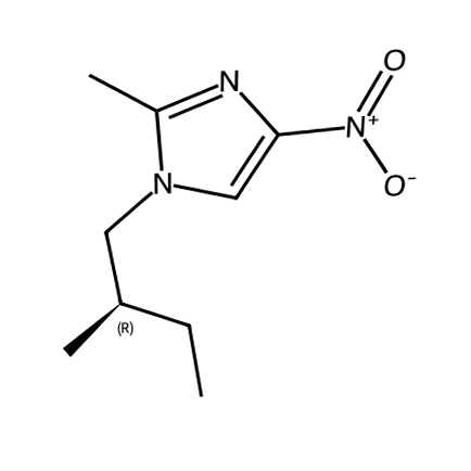 CC[C@@H](C)Cn1cc([N+](=O)[O-])nc1C